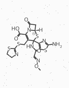 CON=CC(=O)NC1(c2csc(N)n2)S[C@H]2CC(=O)N2C(C(=O)O)=C1CSC1=NCCS1